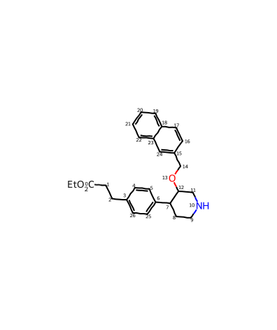 CCOC(=O)CCc1ccc(C2CCNCC2OCc2ccc3ccccc3c2)cc1